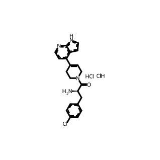 Cl.Cl.N[C@H](Cc1ccc(Cl)cc1)C(=O)N1CC=C(c2ccnc3[nH]ccc23)CC1